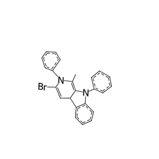 CC1=C2C(C=C(Br)N1c1ccccc1)c1ccccc1N2c1ccccc1